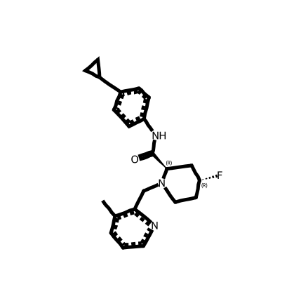 Cc1cccnc1CN1CC[C@@H](F)C[C@@H]1C(=O)Nc1ccc(C2CC2)cc1